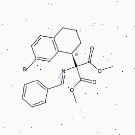 COC(=O)C(/N=C/c1ccccc1)(C(=O)OC)[C@@H]1CCCc2ccc(Br)cc21